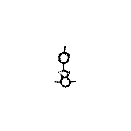 Cc1ccc(-c2nc3c(C)ccc(C)c3o2)cc1